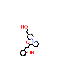 O=C(CCc1ccccc1O)C1CCCCN1N1CCC(CCO)CC1